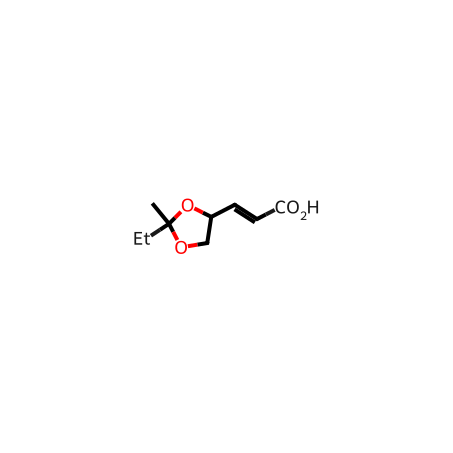 CCC1(C)OCC(C=CC(=O)O)O1